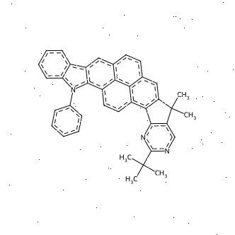 CC(C)(C)c1ncc2c(n1)-c1c(cc3ccc4cc5c6ccccc6n(-c6ccccc6)c5c5ccc1c3c45)C2(C)C